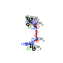 COc1cc(C(=O)NCCOCCOCCN(C)C(=O)CCNc2nc(N3CCNCC3)c3cc(Cl)c(C4=C(F)C=CC[C@@H]4C)c(F)c3n2)ccc1NC(=O)[C@@H]1N[C@@H](CC(C)(C)C)[C@](C#N)(c2ccc(Cl)cc2F)[C@H]1c1cccc(Cl)c1F